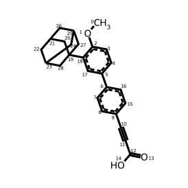 COc1ccc(-c2ccc(C#CC(=O)O)cc2)cc1C12CC3CC(CC(C3)C1)C2